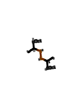 CCCCCCCCC(C)SSC(C)CCCCCCCC